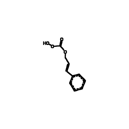 O=C(OO)OC/C=C/c1ccccc1